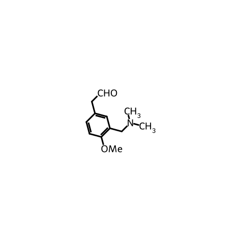 COc1ccc(CC=O)cc1CN(C)C